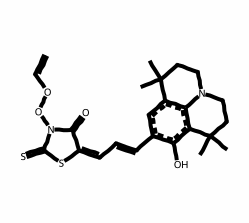 C=COON1C(=O)/C(=C\C=C\c2cc3c4c(c2O)C(C)(C)CCN4CCC3(C)C)SC1=S